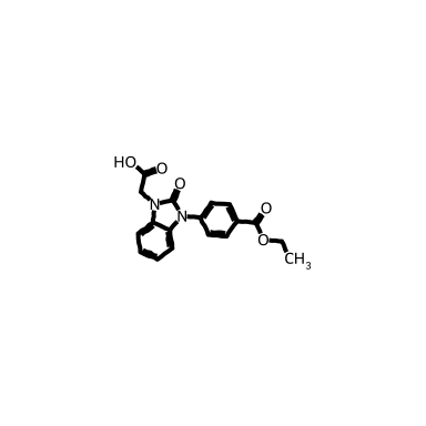 CCOC(=O)c1ccc(-n2c(=O)n(CC(=O)O)c3ccccc32)cc1